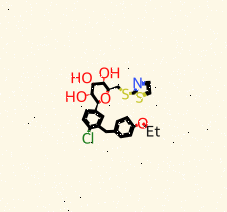 CCOc1ccc(Cc2cc([C@@H]3O[C@H](CSc4nccs4)[C@@H](O)[C@H](O)[C@H]3O)ccc2Cl)cc1